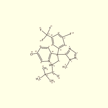 Cn1ncnc1C(CN[S+]([O-])C(C)(C)C)(c1cc(F)cc(C(F)(F)F)c1)c1ccc(Cl)cn1